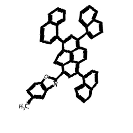 Cc1ccc2oc(-c3cc(-c4cccc5ccccc45)c4ccc5c(-c6cccc7ccccc67)cc(-c6cccc7ccccc67)c6ccc3c4c65)nc2c1